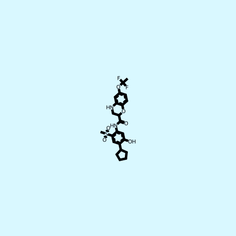 CC(F)(F)Oc1ccc2c(c1)NCC(C(=O)Nc1cc(O)c(C3CCCC3)cc1S(C)(=O)=O)O2